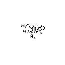 Cc1ccc(C(=O)NC2(C(=O)O)Cc3ccccc3C2)c(CC(C)C)c1